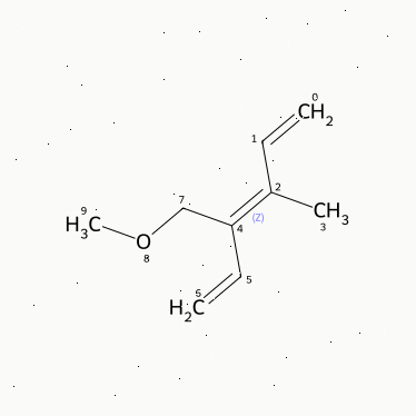 C=C/C(C)=C(/C=C)COC